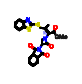 COC(=O)/C(=C(\C)CSc1nc2ccccc2s1)N1CC(N2C(=O)c3ccccc3C2=O)C1=O